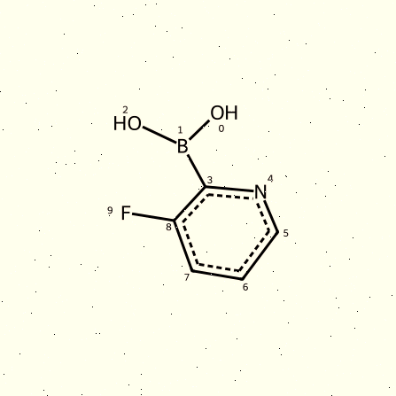 OB(O)c1ncccc1F